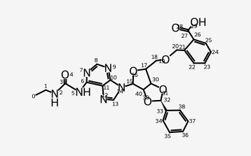 CCNC(=O)Nc1ncnc2c1ncn2C1OC(COCc2ccccc2C(=O)O)C2O[C@@H](c3ccccc3)OC21